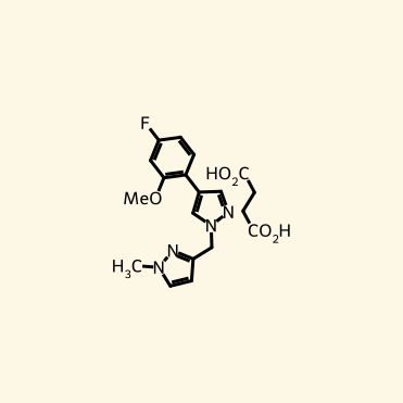 COc1cc(F)ccc1-c1cnn(Cc2ccn(C)n2)c1.O=C(O)CCC(=O)O